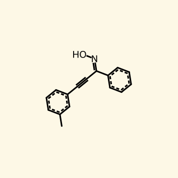 Cc1cccc(C#CC(=NO)c2ccccc2)c1